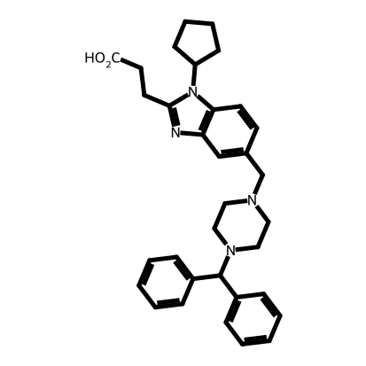 O=C(O)CCc1nc2cc(CN3CCN(C(c4ccccc4)c4ccccc4)CC3)ccc2n1C1CCCC1